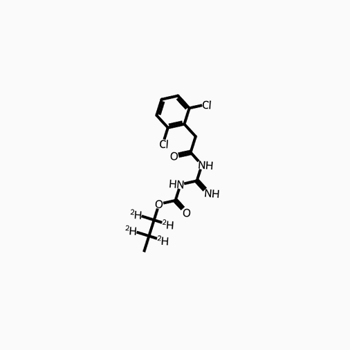 [2H]C([2H])(C)C([2H])([2H])OC(=O)NC(=N)NC(=O)Cc1c(Cl)cccc1Cl